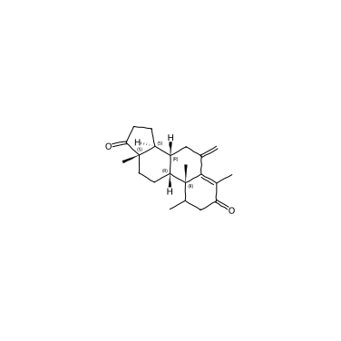 C=C1C[C@@H]2[C@@H](CC[C@]3(C)C(=O)CC[C@@H]23)[C@]2(C)C1=C(C)C(=O)CC2C